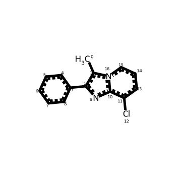 Cc1c(-c2ccccc2)nc2c(Cl)cccn12